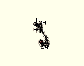 O=C(O)N(c1cccc(F)c1)[C@@H](c1cccc(OCCCCCCNC[C@H](O)c2ccc(O)c3[nH]c(=O)ccc23)c1)C1CN2CCC1CC2